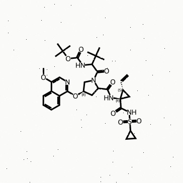 C=C[C@@H]1C[C@]1(NC(=O)C1C[C@@H](Oc2ncc(OC)c3ccccc23)CN1C(=O)C(NC(=O)OC(C)(C)C)C(C)(C)C)C(=O)NS(=O)(=O)C1CC1